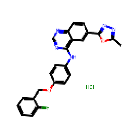 Cc1nnc(-c2ccc3ncnc(Nc4ccc(OCc5ccccc5F)cc4)c3c2)o1.Cl